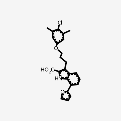 Cc1cc(OCCCc2c(C(=O)O)[nH]c3c(-c4ccco4)cccc23)cc(C)c1Cl